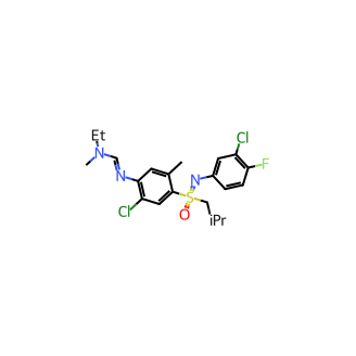 CCN(C)C=Nc1cc(C)c(S(=O)(CC(C)C)=Nc2ccc(F)c(Cl)c2)cc1Cl